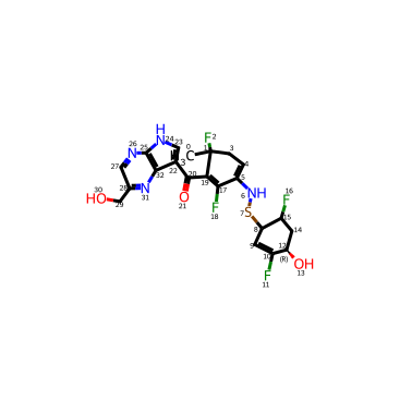 CC1(F)CC=C(NSC2C=C(F)[C@H](O)CC2F)C(F)=C1C(=O)c1c[nH]c2ncc(CO)nc12